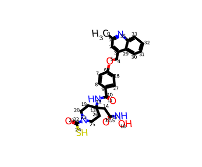 Cc1cc(COc2ccc(C(=O)NC3(CC(=O)NO)CCN(C(=O)S)CC3)cc2)c2ccccc2n1